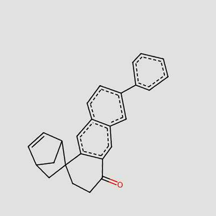 O=C1CCC2(CC3C=CC2C3)c2cc3ccc(-c4ccccc4)cc3cc21